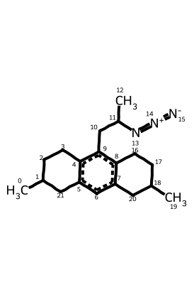 CC1CCc2c(cc3c(c2CC(C)N=[N+]=[N-])CCC(C)C3)C1